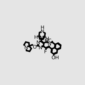 C#Cc1cccc2cc(O)cc(-c3ncc4c(N5[C@@H]6C=C[C@H]5CNC6)nc(OCC56CCCN5CCC6)nc4c3F)c12